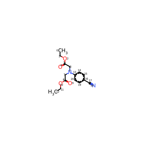 CCOC(=O)CN(CC(=O)OCC)c1ccc(C#N)cc1